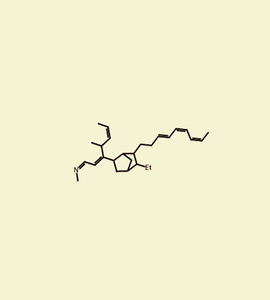 C\C=C/C=C\C=C\CCC1C(CC)C2CC(/C(=C/C=N\C)C(C)/C=C\C)C1C2